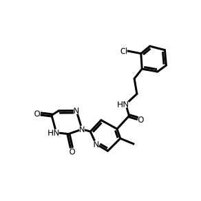 Cc1cnc(-n2ncc(=O)[nH]c2=O)cc1C(=O)NCCc1ccccc1Cl